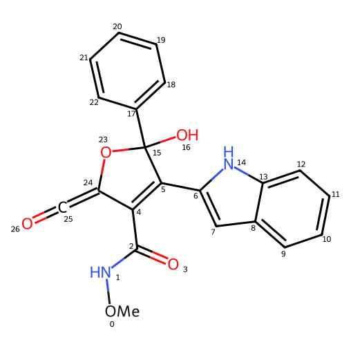 CONC(=O)C1=C(c2cc3ccccc3[nH]2)C(O)(c2ccccc2)OC1=C=O